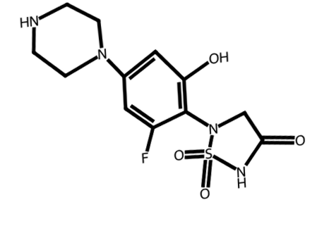 O=C1CN(c2c(O)cc(N3CCNCC3)cc2F)S(=O)(=O)N1